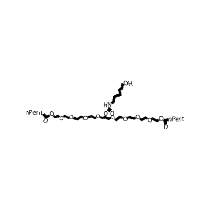 CCCCCC(=O)OCCOCCOCCOCCOCC(COCCOCCOCCOCCOC(=O)CCCCC)OC(=O)NCCCCCCO